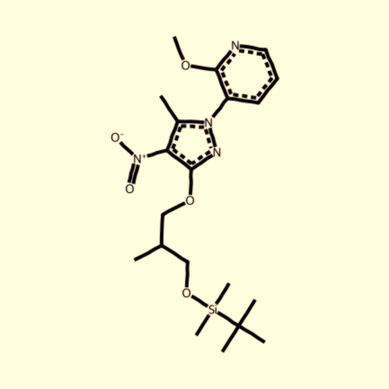 COc1ncccc1-n1nc(OCC(C)CO[Si](C)(C)C(C)(C)C)c([N+](=O)[O-])c1C